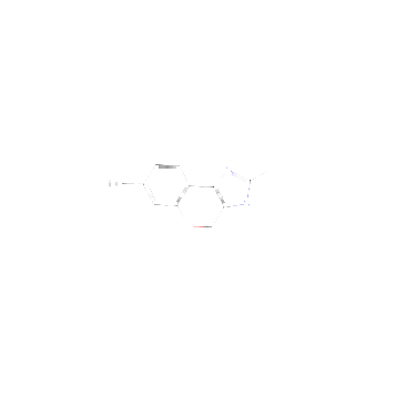 CCC(C)c1ccc2c(c1)OCc1[nH]c(C)nc1-2